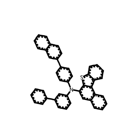 c1ccc(-c2cccc(N(c3ccc(-c4ccc5ccccc5c4)cc3)c3cc4ccccc4c4c3sc3ccccc34)c2)cc1